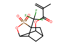 C=C(C)C(=O)OC1C2CC3C1OS(=O)(=O)C3(C(F)(F)F)C2